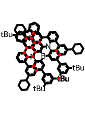 CC(C)(C)c1cc(-c2ccc3c(c2)B2c4cc(-c5cc(C(C)(C)C)cc(C(C)(C)C)c5)ccc4N(c4c(-c5cccc(C6CCCCC6)c5)cccc4-c4cccc(C5CCCCC5)c4)c4cc(-n5c6ccccc6c6cc(C(C)(C)C)ccc65)cc(c42)N3c2c(-c3cccc(C4CCCCC4)c3)cccc2-c2cccc(C3CCCCC3)c2)cc(C(C)(C)C)c1